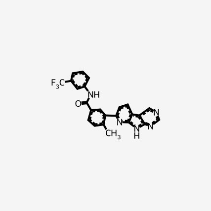 Cc1ccc(C(=O)Nc2cccc(C(F)(F)F)c2)cc1-c1ccc2c(n1)[nH]c1ncncc12